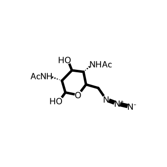 CC(=O)N[C@@H]1C(CN=[N+]=[N-])OC(O)[C@H](NC(C)=O)C1O